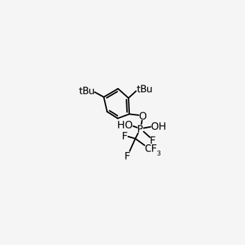 CC(C)(C)c1ccc(OP(O)(O)(F)C(F)(F)C(F)(F)F)c(C(C)(C)C)c1